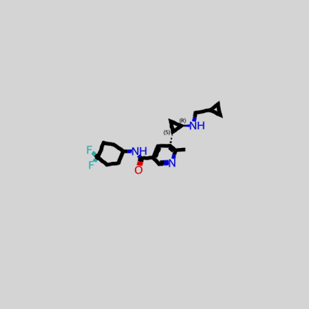 Cc1ncc(C(=O)NC2CCC(F)(F)CC2)cc1[C@@H]1C[C@H]1NCC1CC1